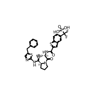 CC(C)(C)[C@H](NC(=O)c1cc2cc(C(F)(F)P(=O)(O)O)ccc2s1)C(=O)N1CCC[C@H]1C(=O)Nc1ncc(Cc2ccccc2)s1